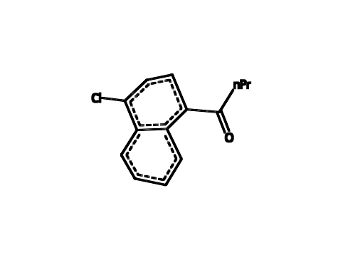 CCCC(=O)c1ccc(Cl)c2ccccc12